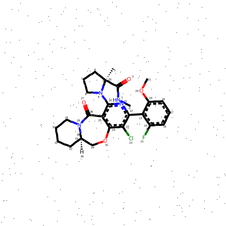 CNC(=O)[C@]1(C)CCCN1c1nc(-c2c(F)cccc2OC)c(Cl)c2c1C(=O)N1CCCC[C@@H]1CO2